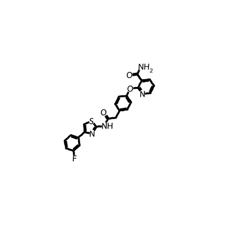 NC(=O)c1cccnc1Oc1ccc(CC(=O)Nc2nc(-c3cccc(F)c3)cs2)cc1